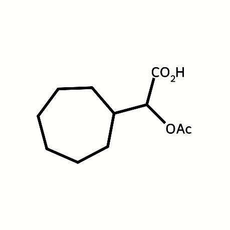 CC(=O)OC(C(=O)O)C1CCCCCC1